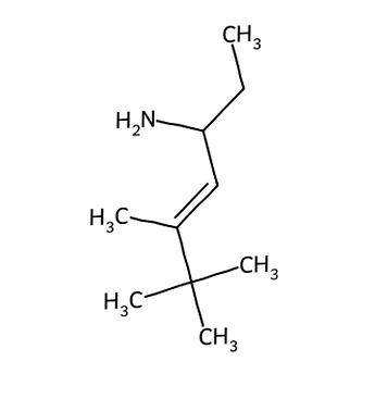 CCC(N)/C=C(\C)C(C)(C)C